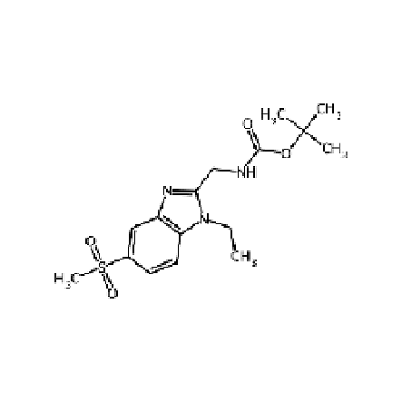 CCn1c(CNC(=O)OC(C)(C)C)nc2cc(S(C)(=O)=O)ccc21